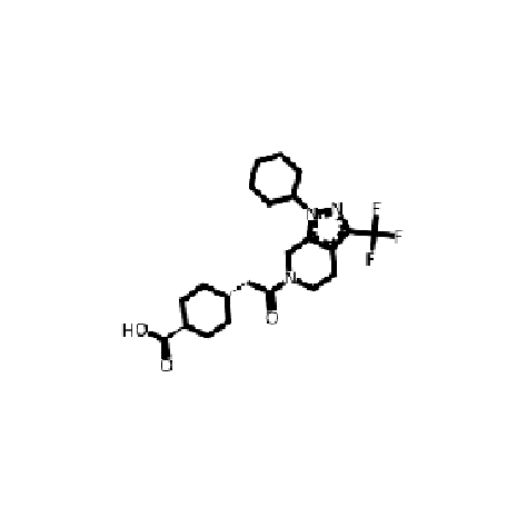 O=C(C[C@H]1CC[C@H](C(=O)O)CC1)N1CCc2c(C(F)(F)F)nn(C3CCCCC3)c2C1